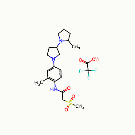 Cc1cc(N2CCC(N3CCCC3C)C2)ccc1NC(=O)CS(C)(=O)=O.O=C(O)C(F)(F)F